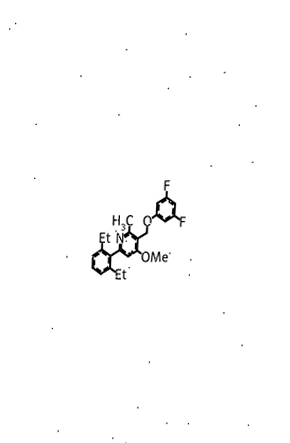 CCc1cccc(CC)c1-c1cc(OC)c(COc2cc(F)cc(F)c2)c(C)n1